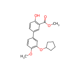 COC(=O)c1cc(-c2ccc(OC)c(OC3CCCC3)c2)ccc1O